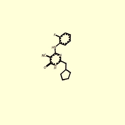 N#Cc1c(Nc2ccccc2F)nc(CC2CCCC2)[nH]c1=O